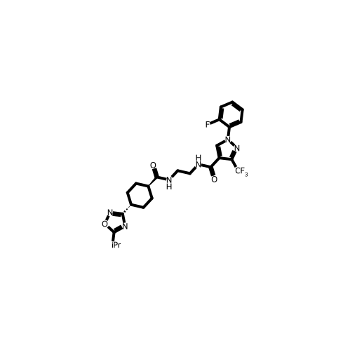 CC(C)c1nc([C@H]2CC[C@H](C(=O)NCCNC(=O)c3cn(-c4ccccc4F)nc3C(F)(F)F)CC2)no1